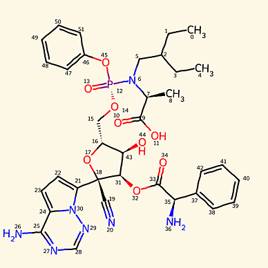 CCC(CC)CN([C@@H](C)C(=O)O)[P@](=O)(OC[C@H]1O[C@@](C#N)(c2ccc3c(N)ncnn23)[C@H](OC(=O)[C@H](N)c2ccccc2)[C@@H]1O)Oc1ccccc1